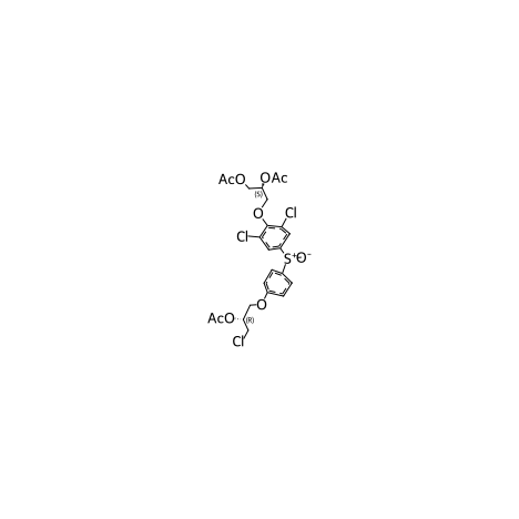 CC(=O)OC[C@H](COc1c(Cl)cc([S+]([O-])c2ccc(OC[C@H](CCl)OC(C)=O)cc2)cc1Cl)OC(C)=O